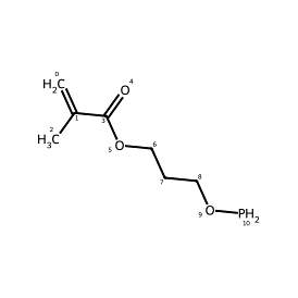 C=C(C)C(=O)OCCCOP